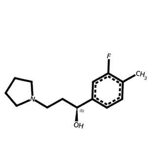 Cc1ccc([C@@H](O)CCN2CCCC2)cc1F